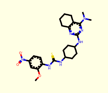 COc1cc([N+](=O)[O-])ccc1NC(=S)NC1CCC(Nc2nc3c(c(N(C)C)n2)CCCC3)CC1